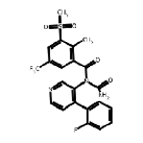 Cc1c(C(=O)N(C(N)=O)c2cnccc2-c2ccccc2F)cc(C(F)(F)F)cc1S(C)(=O)=O